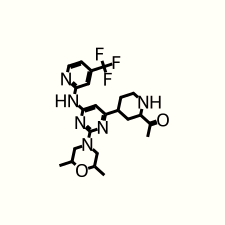 CC(=O)C1CC(c2cc(Nc3cc(C(F)(F)F)ccn3)nc(N3CC(C)OC(C)C3)n2)CCN1